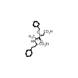 CCOC(=O)[C@H](CCc1ccccc1)N[C@@H](C)C(=O)N(CC(=O)O)OCc1ccccc1